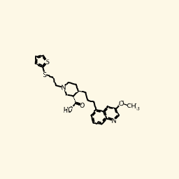 COc1cnc2cccc(CCCC3CCN(CCSc4cccs4)C[C@@H]3C(=O)O)c2c1